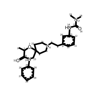 CC1OC2(CCN(CCc3cccc(NC(=O)N(C)C)c3)CC2)CN(c2ccccc2)C1=O